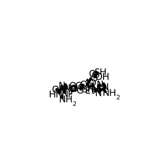 CC[C@H]1[C@H](n2cnc3c(N)ncnc32)OC(C)(COP(=O)(O)S)[C@H]1OP(=O)(S)O[C@@H]1C[C@@H](F)[C@H](n2cnc3c(=O)[nH]c(N)nc32)O1